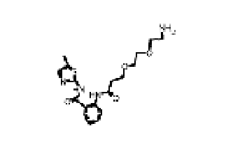 Cc1cnc(NC(=O)c2ccccc2NC(=O)CCOCCOCCN)s1